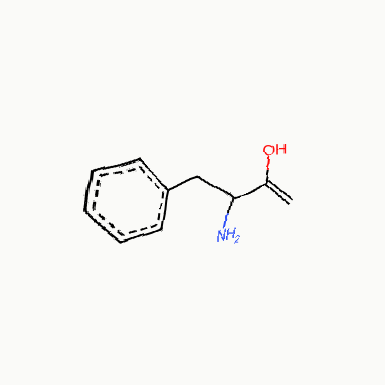 C=C(O)C(N)Cc1ccccc1